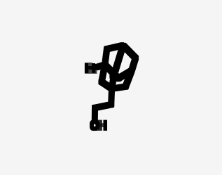 [CH2]CC12CC3CC(C1)CC(CCO)(C3)C2